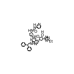 CCc1nnn([C@H]2C[C@@H](n3cnc4c(NCC(c5ccccc5)c5ccccc5)nc(N5CC[C@@H](NC(=O)Nc6cccnc6)C5)nc43)[C@H](O)[C@@H]2O)n1